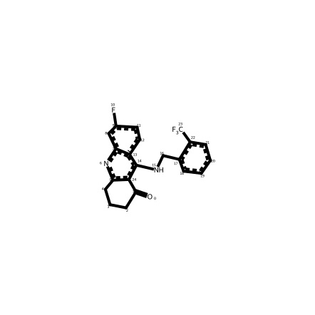 O=C1CCCc2nc3cc(F)ccc3c(NCc3ccccc3C(F)(F)F)c21